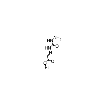 CCOC(=O)C=NNC(=O)NN